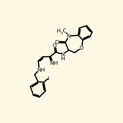 CN1C(=O)C(NC(=O)C(=N)/C=C\NCc2ccccc2I)COc2ccccc21